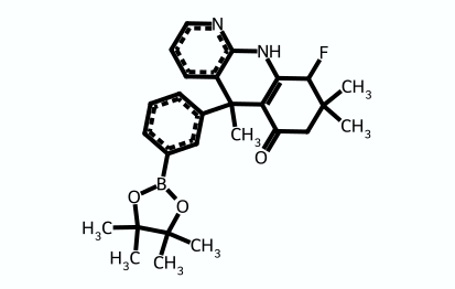 CC1(c2cccc(B3OC(C)(C)C(C)(C)O3)c2)C2=C(Nc3ncccc31)C(F)C(C)(C)CC2=O